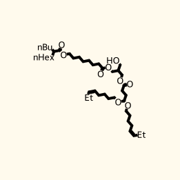 CC/C=C\CCCCOC(CCC(=O)OCC(CO)COC(=O)CCCCCCCOC(=O)C(CCCC)CCCCCC)OCCCC/C=C\CC